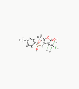 Cc1ccc(S(=O)(=O)CC2C(C)OC(=O)C2(F)C(F)(F)F)cc1